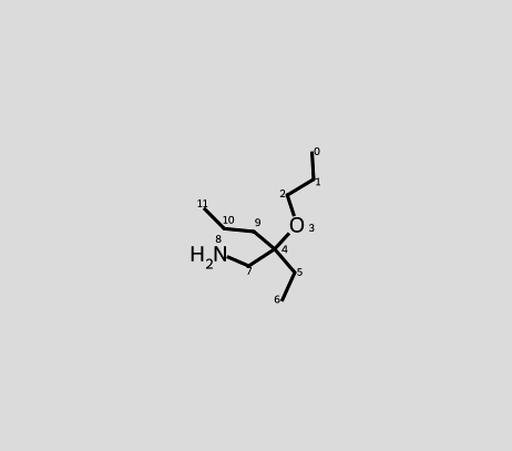 CCCOC(CC)(CN)CCC